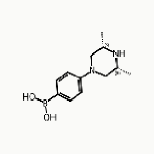 C[C@@H]1CN(c2ccc(B(O)O)cc2)C[C@H](C)N1